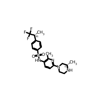 Cc1nc(N2CCN[C@@H](C)C2)ccc1NS(=O)(=O)c1ccc([C@@H](C)C(F)(F)F)cc1